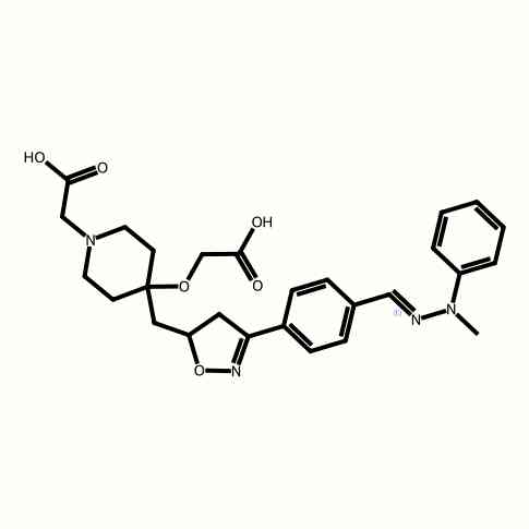 CN(/N=C/c1ccc(C2=NOC(CC3(OCC(=O)O)CCN(CC(=O)O)CC3)C2)cc1)c1ccccc1